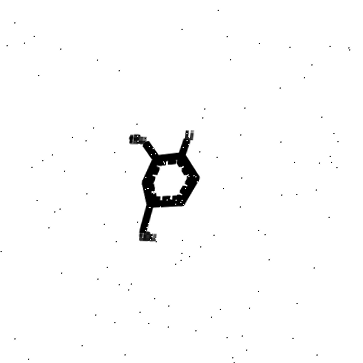 [Li][c]1ccc(C(C)(C)C)cc1C(C)(C)C